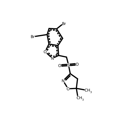 CC1(C)CC(S(=O)(=O)Cc2noc3c(Br)cc(Br)cc23)=NO1